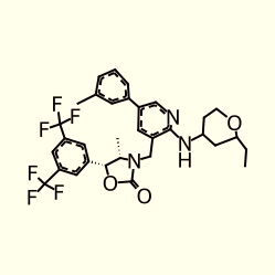 CCC1CC(Nc2ncc(-c3cccc(C)c3)cc2CN2C(=O)O[C@H](c3cc(C(F)(F)F)cc(C(F)(F)F)c3)[C@@H]2C)CCO1